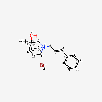 O[C@H]1C[N+]2(CC=Cc3ccccc3)CCC1CC2.[Br-]